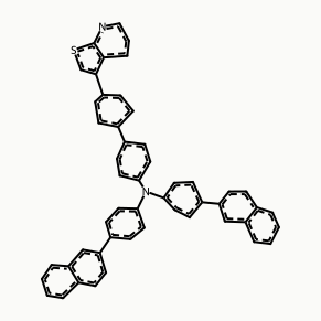 c1ccc2cc(-c3ccc(N(c4ccc(-c5ccc(-c6csc7ncccc67)cc5)cc4)c4ccc(-c5ccc6ccccc6c5)cc4)cc3)ccc2c1